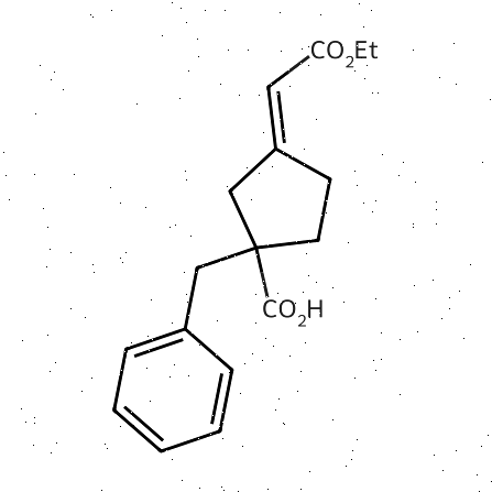 CCOC(=O)C=C1CCC(Cc2ccccc2)(C(=O)O)C1